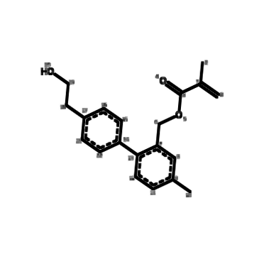 C=C(C)C(=O)OCc1cc(C)ccc1-c1ccc(CCO)cc1